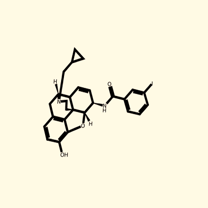 O=C(N[C@@H]1C=CC2[C@H]3Cc4ccc(O)c5c4[C@@]2(CCN3CC2CC2)[C@H]1O5)c1cccc(I)c1